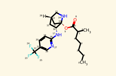 CCCCCC(C)C(=O)O[C@]12C[C@@H](CN1)C[C@H]2Nc1ccc(C(F)(F)F)cn1